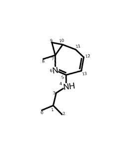 CC(C)CNC1=NC2(C)CC2CC=C1